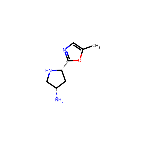 Cc1cnc([C@@H]2C[C@H](N)CN2)o1